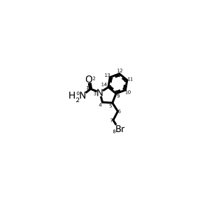 NC(=O)N1CC(CCBr)c2ccccc21